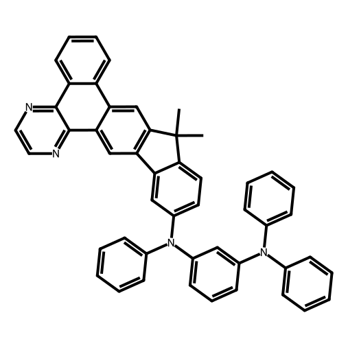 CC1(C)c2ccc(N(c3ccccc3)c3cccc(N(c4ccccc4)c4ccccc4)c3)cc2-c2cc3c(cc21)c1ccccc1c1nccnc31